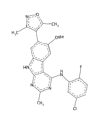 COc1cc2c(cc1-c1c(C)noc1C)[nH]c1nc(C)nc(Nc3cc(Cl)ccc3F)c12